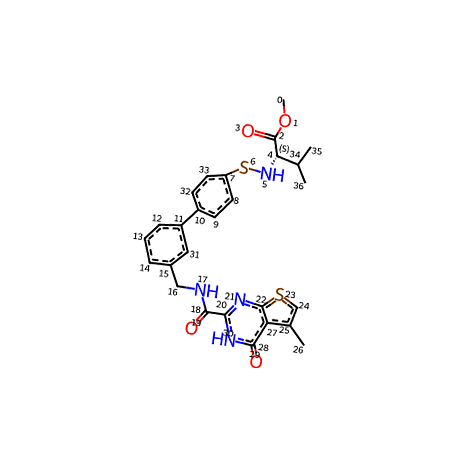 COC(=O)[C@@H](NSc1ccc(-c2cccc(CNC(=O)c3nc4scc(C)c4c(=O)[nH]3)c2)cc1)C(C)C